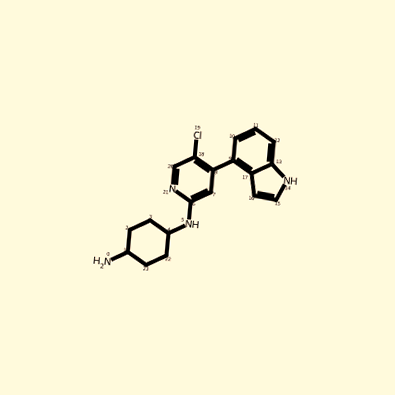 NC1CCC(Nc2cc(-c3cccc4[nH]ccc34)c(Cl)cn2)CC1